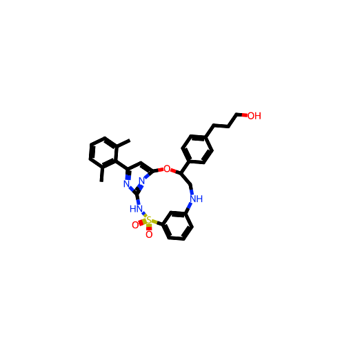 Cc1cccc(C)c1-c1cc2nc(n1)NS(=O)(=O)c1cccc(c1)NCC(c1ccc(CCCO)cc1)O2